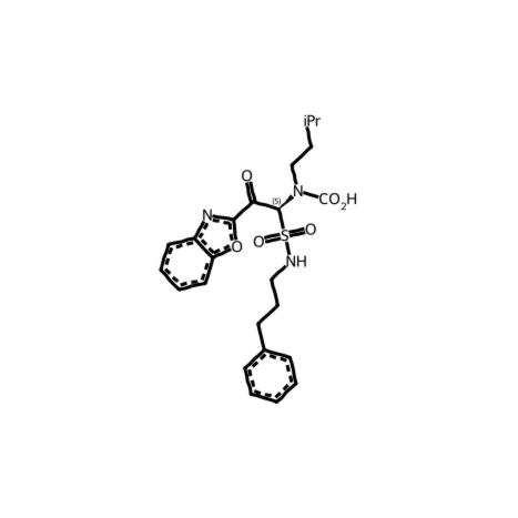 CC(C)CCN(C(=O)O)[C@H](C(=O)c1nc2ccccc2o1)S(=O)(=O)NCCCc1ccccc1